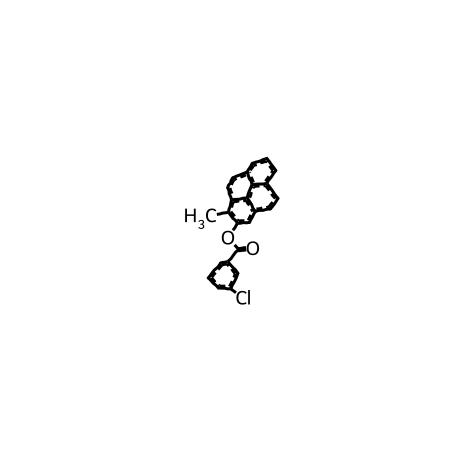 Cc1c(OC(=O)c2cccc(Cl)c2)cc2ccc3cccc4ccc1c2c34